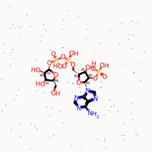 Nc1ncnc2c1ncn2[C@@H]1O[C@H](COP(=O)(O)OP(=O)(O)O[C@@H]2O[C@H](CO)[C@@H](O)[C@H]2O)[C@@H](O)[C@H]1OP(=O)(O)O